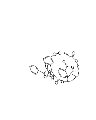 O=C1/C=C/COc2cccc(c2)[C@H](NC(=O)c2ccccc2)[C@@H](O)C(=O)OC2CC3CC(CO1)C(OC(=O)c1ccccc1)C(C3)C2